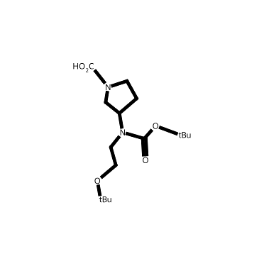 CC(C)(C)OCCN(C(=O)OC(C)(C)C)C1CCN(C(=O)O)C1